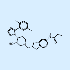 CCC(=O)Nc1ccc2c(c1)C[C@@H](CN1CC[C@@H](n3ccnc3-c3cc(C)ccc3C)[C@H](O)C1)C2